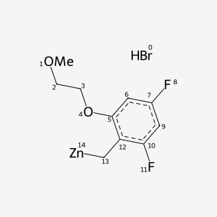 Br.COCCOc1cc(F)cc(F)c1[CH2][Zn]